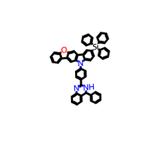 c1ccc(C2NC(c3ccc(-n4c5ccc([Si](c6ccccc6)(c6ccccc6)c6ccccc6)cc5c5cc6oc7ccccc7c6cc54)cc3)=Nc3ccccc32)cc1